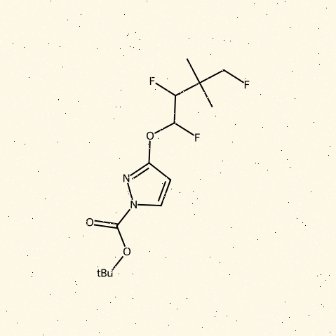 CC(C)(C)OC(=O)n1ccc(OC(F)C(F)C(C)(C)CF)n1